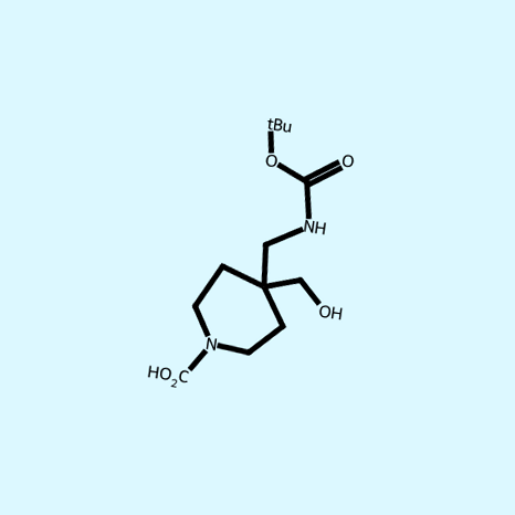 CC(C)(C)OC(=O)NCC1(CO)CCN(C(=O)O)CC1